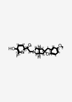 COc1cccc(C[C@]2(O)C[C@H]3CN(CC(=O)c4ccc(O)c(F)n4)C[C@H]3C2)c1